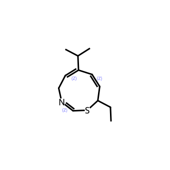 CCC1/C=C\C(C(C)C)=C/C/N=C\S1